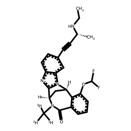 [2H]C([2H])([2H])N1C(=O)c2cccc(OC(F)F)c2[C@H]2C[C@@H]1c1nc3ccc(C#C[C@@H](C)NCC)cc3n12